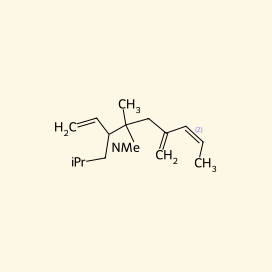 C=CC(CC(C)C)C(C)(CC(=C)/C=C\C)NC